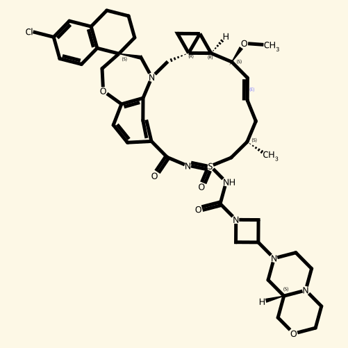 CO[C@H]1/C=C/C[C@H](C)CS(=O)(NC(=O)N2CC(N3CCN4CCOC[C@@H]4C3)C2)=NC(=O)c2ccc3c(c2)N(C[C@@]2(CCCc4cc(Cl)ccc42)CO3)C[C@]23CC2[C@@H]13